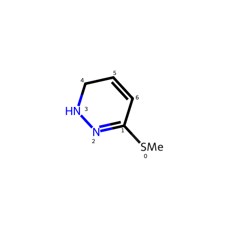 CSC1=NNCC=C1